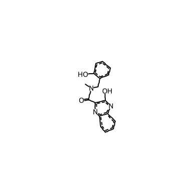 CN(Cc1ccccc1O)C(=O)c1nc2ccccc2nc1O